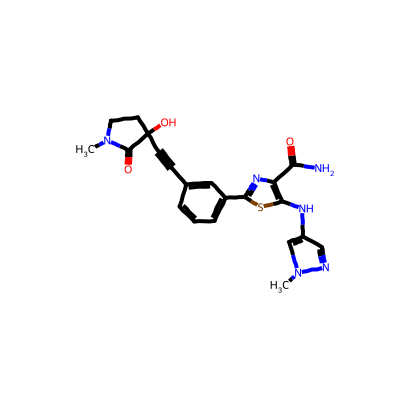 CN1CCC(O)(C#Cc2cccc(-c3nc(C(N)=O)c(Nc4cnn(C)c4)s3)c2)C1=O